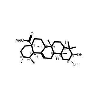 COC(=O)[C@]12CC[C@@H](C)[C@H](C)[C@H]1C1=CC[C@@H]3[C@@]4(C)C[C@@H](O)[C@H](O)C(C)(C)[C@@H]4CC[C@@]3(C)[C@]1(C)CC2